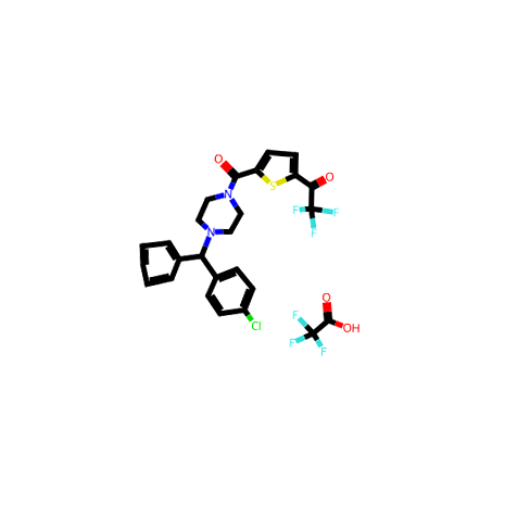 O=C(O)C(F)(F)F.O=C(c1ccc(C(=O)C(F)(F)F)s1)N1CCN(C(c2ccccc2)c2ccc(Cl)cc2)CC1